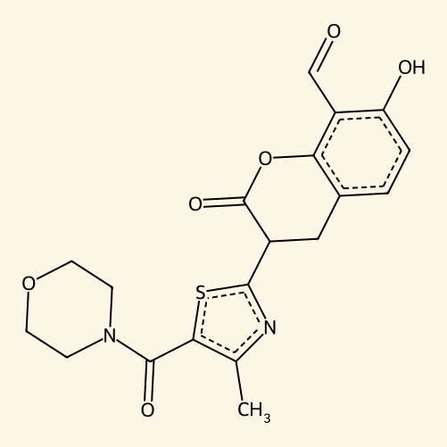 Cc1nc(C2Cc3ccc(O)c(C=O)c3OC2=O)sc1C(=O)N1CCOCC1